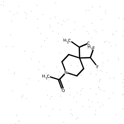 CC(=O)N1CCC(C(C)C)(C(F)F)CC1